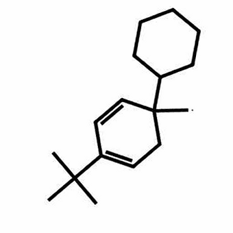 [CH2]C1(C2CCCCC2)C=CC(C(C)(C)C)=CC1